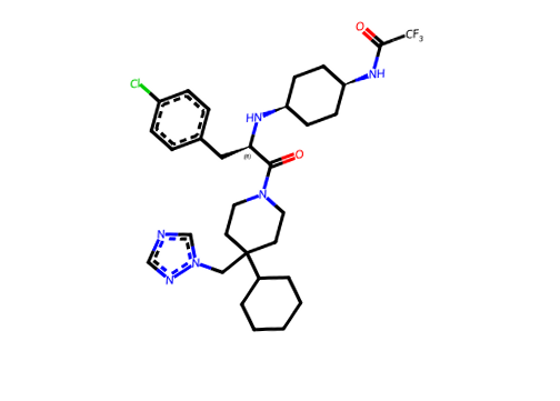 O=C([C@@H](Cc1ccc(Cl)cc1)N[C@H]1CC[C@@H](NC(=O)C(F)(F)F)CC1)N1CCC(Cn2cncn2)(C2CCCCC2)CC1